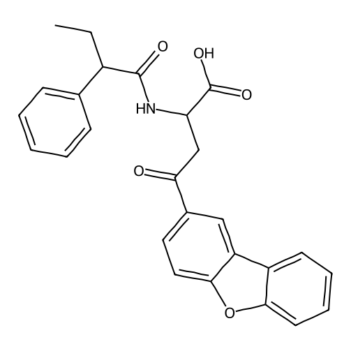 CCC(C(=O)NC(CC(=O)c1ccc2oc3ccccc3c2c1)C(=O)O)c1ccccc1